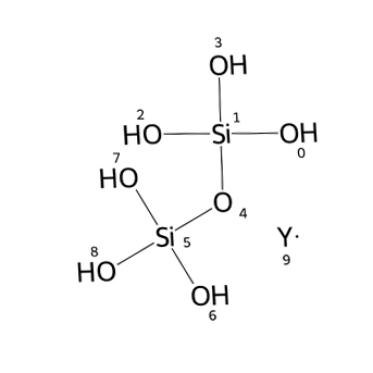 O[Si](O)(O)O[Si](O)(O)O.[Y]